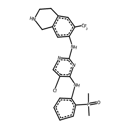 CP(C)(=O)c1ccccc1Nc1nc(Nc2cc3c(cc2C(F)(F)F)CCNC3)ncc1Cl